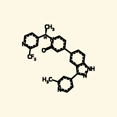 Cc1cc(-c2n[nH]c3ccc(-c4ccn([C@H](C)c5ccnc(C(F)(F)F)c5)c(=O)c4)cc23)ccn1